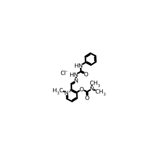 CN(C)C(=O)Oc1ccc[n+](C)c1C=NNC(=O)Nc1ccccc1.[Cl-]